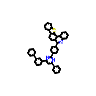 c1ccc(-c2cccc(-c3cc(-c4ccccc4)nc(-c4ccc(-c5nc6ccccc6c6c5ccc5c7ccccc7sc56)cc4)n3)c2)cc1